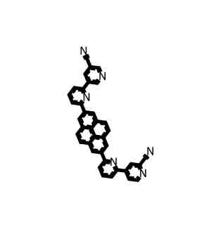 N#Cc1cncc(-c2cccc(-c3cc4ccc5cc(-c6cccc(-c7ccnc(C#N)c7)n6)cc6ccc(c3)c4c56)n2)c1